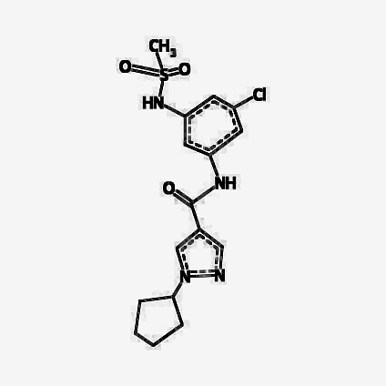 CS(=O)(=O)Nc1cc(Cl)cc(NC(=O)c2cnn(C3CCCC3)c2)c1